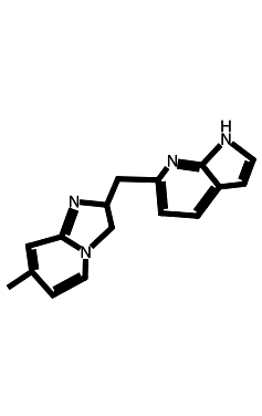 CC1=CC2=NC(Cc3ccc4cc[nH]c4n3)CN2C=C1